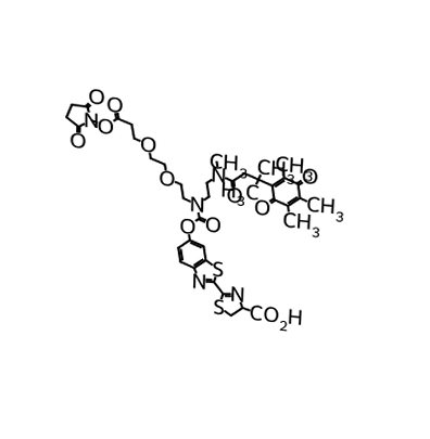 CC1=C(C)C(=O)C(C(C)(C)CC(=O)N(C)CCN(CCOCCOCCC(=O)ON2C(=O)CCC2=O)C(=O)Oc2ccc3nc(C4=NC(C(=O)O)CS4)sc3c2)=C(C)C1=O